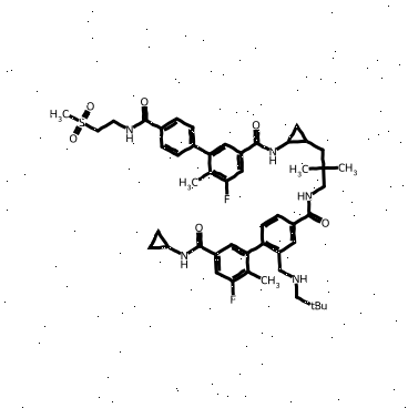 Cc1c(F)cc(C(=O)NC2CC2CC(C)(C)CNC(=O)c2ccc(-c3cc(C(=O)NC4CC4)cc(F)c3C)c(CNCC(C)(C)C)c2)cc1-c1ccc(C(=O)NCCS(C)(=O)=O)cc1